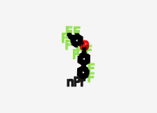 CCCc1ccc(-c2ccc(C(F)(F)Oc3cc(F)c(C(F)F)c(F)c3)c(F)c2)c(F)c1F